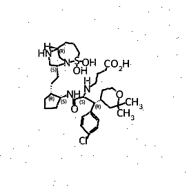 CC1(C)CC([C@H](c2ccc(Cl)cc2)[C@H](NCCCC(=O)O)C(=O)N[C@H]2CCC[C@@H]2CC[C@H]2CN[C@@H]3CCCS(O)(O)N2C3)CCO1